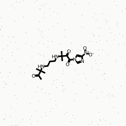 CC(=O)C(C)(C)NCCCNC(C)(C)C(=O)C(=O)n1cnc([N+](=O)[O-])c1